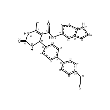 CC1=C(C(=O)Nc2ccc3[nH]ncc3c2)C(c2ccc(-c3ccc(CF)cc3)cc2)NC(=O)N1